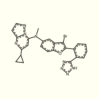 CN(c1ccc2oc(-c3ccccc3-c3nnn[nH]3)c(Br)c2c1)c1cc(C2CC2)nc2ccnn12